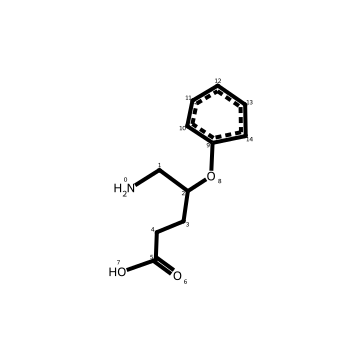 NCC(CCC(=O)O)Oc1ccccc1